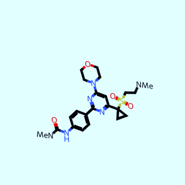 CNCCS(=O)(=O)C1(c2cc(N3CCOCC3)nc(-c3ccc(NC(=O)NC)cc3)n2)CC1